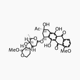 [CH2]C(=O)[C@]1(O)Cc2c(O)c3c(c(O)c2[C@@H](O[C@H]2C[C@H]4[C@H](O[C@@H]5[C@@H](OC)OCCN54)[C@H](C)O2)C1)C(=O)c1c(OC)cccc1C3=O